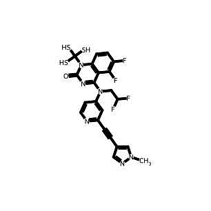 Cn1cc(C#Cc2cc(N(CC(F)F)c3nc(=O)n(C(S)(S)S)c4ccc(F)c(F)c34)ccn2)cn1